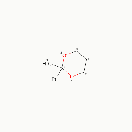 CCC1(C)OCCCO1